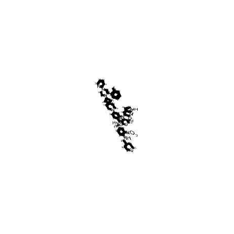 Cc1ccccc1[C@@H]1CN(c2ccccn2)CCN1C1CC2(CCN(c3ccc(C(=O)NS(=O)(=O)c4ccc(NCC5CCOCC5)c([N+](=O)[O-])c4)c(N4c5cc6cc[nH]c6nc5O[C@H]5COCC[C@@H]54)c3)CC2)C1